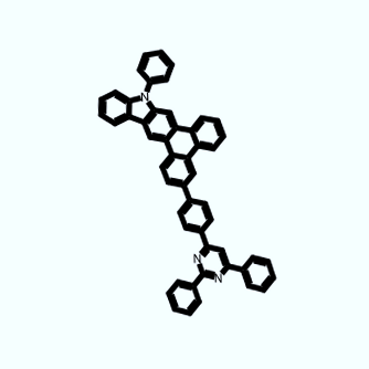 c1ccc(-c2cc(-c3ccc(-c4ccc5c(c4)c4ccccc4c4cc6c(cc54)c4ccccc4n6-c4ccccc4)cc3)nc(-c3ccccc3)n2)cc1